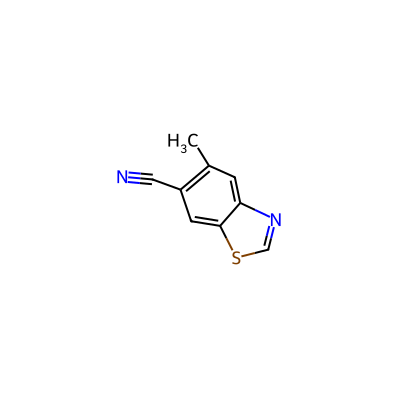 Cc1cc2ncsc2cc1C#N